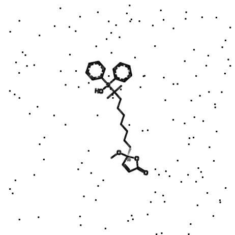 CO[C@]1(CCCCCCCC(C)(C)[Si](O)(c2ccccc2)c2ccccc2)C=CC(=O)O1